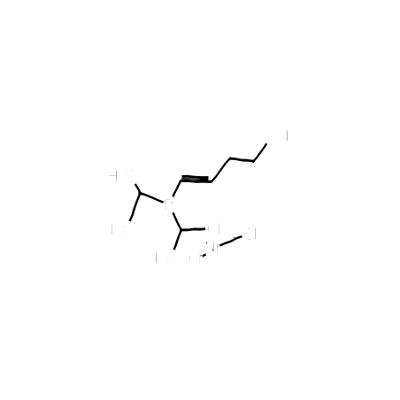 CCCC=CP(C(C)C)C(C)C.[Cl][Ni][Cl]